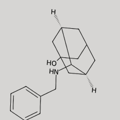 OC12CC3C[C@H](C1)C(NCc1ccccc1)[C@@H](C3)C2